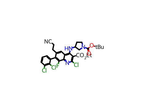 CCOC(=O)c1c(Cl)nc2c(F)c(-c3cccc(Cl)c3Cl)c(CCC#N)cc2c1NC1CCN(C(=O)OC(C)(C)C)C1